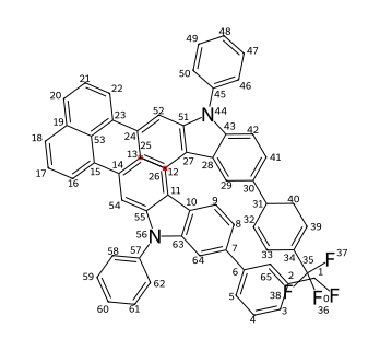 FCc1cccc(-c2ccc3c4ccc(-c5cccc6cccc(-c7ccc8c9cc(C%10C=CC(C(F)(F)F)=CC%10)ccc9n(-c9ccccc9)c8c7)c56)cc4n(-c4ccccc4)c3c2)c1